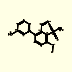 COc1ccc(-c2cccc(O)c2)c(C=O)c1S(N)(=O)=O